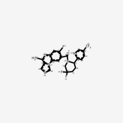 Nc1nc2cc(F)c(C(=O)N3CC(F)(F)CCC3c3ccc(C(F)(F)F)cn3)cc2n2cncc12